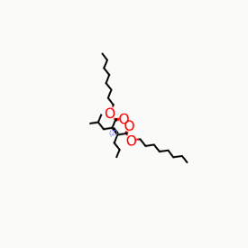 CCCCCCCCOC(=O)/C(CCC)=C(/CC(C)C)C(=O)OCCCCCCCC